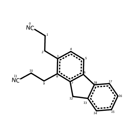 N#CCCc1ccc2c(c1CCC#N)Cc1ccccc1-2